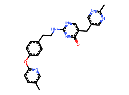 Cc1ccc(Oc2ccc(CCNc3nc(=O)c(Cc4cnc(C)nc4)c[nH]3)cc2)nc1